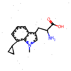 Cn1cc(CC(N)C(=O)O)c2cccc(C3CC3)c21